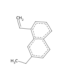 C=Cc1cccc2ccc(CC)cc12